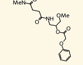 CNC(=O)CCC(=O)NCC(COC)OC(=O)COc1ccccc1